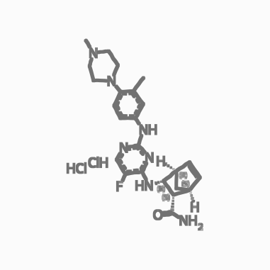 Cc1cc(Nc2ncc(F)c(N[C@H]3[C@@H](C(N)=O)[C@@H]4C=C[C@H]3C4)n2)ccc1N1CCN(C)CC1.Cl.Cl